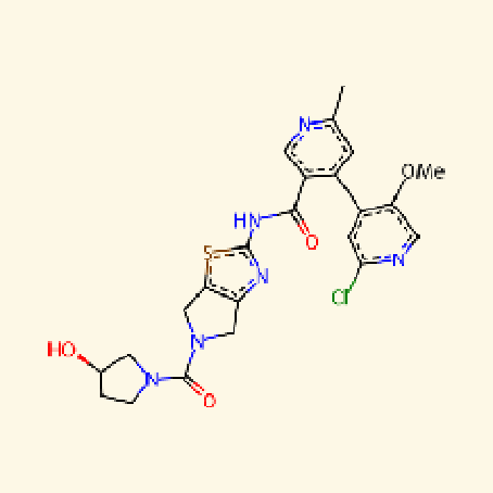 COc1cnc(Cl)cc1-c1cc(C)ncc1C(=O)Nc1nc2c(s1)CN(C(=O)N1CC[C@@H](O)C1)C2